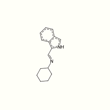 C(=N\C1CCCCC1)/c1[nH]cc2ccccc12